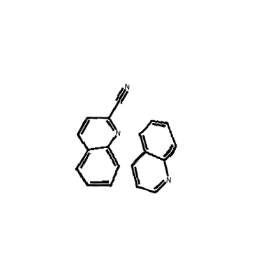 N#Cc1ccc2ccccc2n1.c1ccc2ncccc2c1